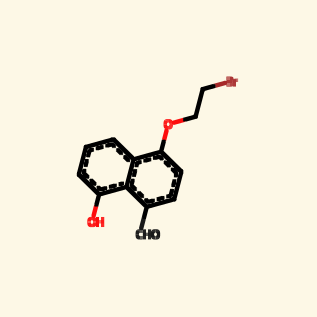 O=Cc1ccc(OCCBr)c2cccc(O)c12